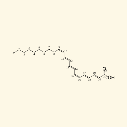 CCCCCCCCC\C=C/C=C/C=C/C=C\C=C\C=C\C(=O)O